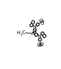 CCCCCCn1c2ccc(N(c3ccc(C4OCCO4)cc3)c3cccc4ccccc34)cc2c2sc(N(c3ccc(C4OCCO4)cc3)c3cccc4ccccc34)cc21